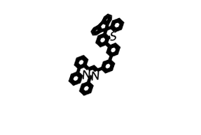 c1ccc(-c2nc(-c3cccc(-c4cccc(-c5cccc6c5Sc5ccccc5C65c6ccccc6-c6ccccc65)c4)c3)cc(-c3ccccc3-c3ccccc3)n2)cc1